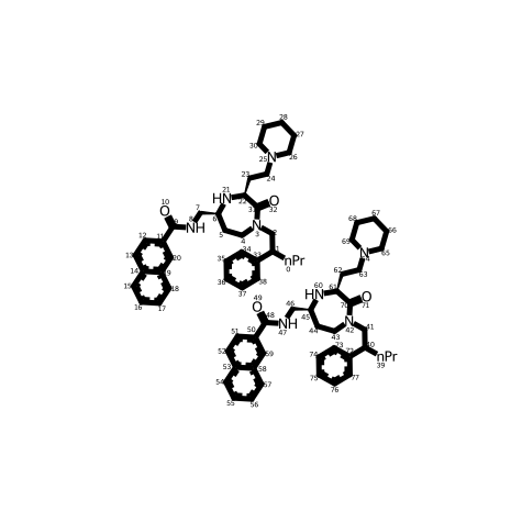 CCCC(CN1CC[C@@H](CNC(=O)c2ccc3ccccc3c2)N[C@@H](CCN2CCCCC2)C1=O)c1ccccc1.CCCC(CN1CC[C@@H](CNC(=O)c2ccc3ccccc3c2)N[C@@H](CCN2CCCCC2)C1=O)c1ccccc1